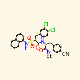 CCN(C)C(=O)C(Cc1ccc(C#N)cc1)NC(=O)C(Cc1ccc(Cl)c(Cl)c1)S(=O)(=O)Nc1cccc2ccccc12